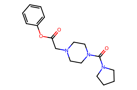 O=C(CN1CCN(C(=O)N2CCCC2)CC1)Oc1ccccc1